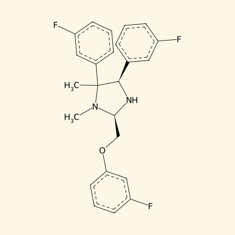 CN1[C@H](COc2cccc(F)c2)N[C@H](c2cccc(F)c2)C1(C)c1cccc(F)c1